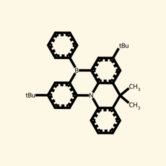 CC(C)(C)c1ccc2c(c1)B(c1ccccc1)c1cc(C(C)(C)C)cc3c1N2c1ccccc1C3(C)C